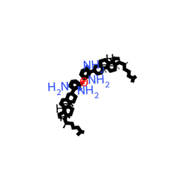 CC(C)CCC[C@@H](C)[C@H]1CC[C@H]2[C@@H]3CCC4CC(c5c(N)ccc(Oc6ccc(N)c(C7CC[C@@]8(C)C(CC[C@H]9[C@@H]%10CC[C@H]([C@H](C)CCCC(C)C)[C@@]%10(C)CC[C@@H]98)C7)c6N)c5N)CC[C@]4(C)[C@H]3CC[C@]12C